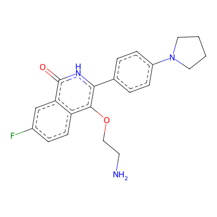 NCCOc1c(-c2ccc(N3CCCC3)cc2)[nH]c(=O)c2cc(F)ccc12